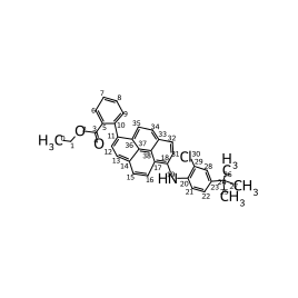 CCOC(=O)c1ccccc1-c1ccc2ccc3c(Nc4ccc(C(C)(C)C)cc4Cl)ccc4ccc1c2c43